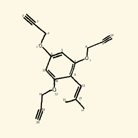 C#CCOc1cc(OCC#C)c(C=C(C)C)c(OCC#C)c1